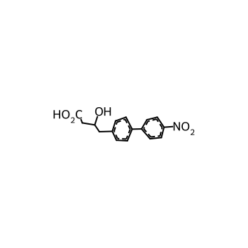 O=C(O)CC(O)Cc1ccc(-c2ccc([N+](=O)[O-])cc2)cc1